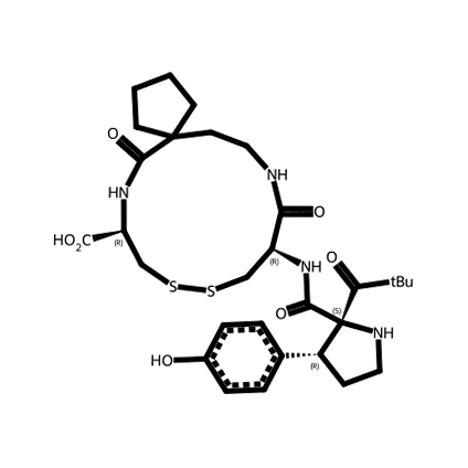 CC(C)(C)C(=O)[C@@]1(C(=O)N[C@H]2CSSC[C@@H](C(=O)O)NC(=O)C3(CCCC3)CCNC2=O)NCC[C@@H]1c1ccc(O)cc1